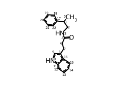 CC(CNC(=O)CCc1c[nH]c2ccccc12)c1ccccc1